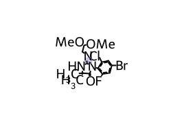 COC(C/N=C1\NC(C)(C)C(=O)N1c1c(F)cc(Br)cc1Cl)OC